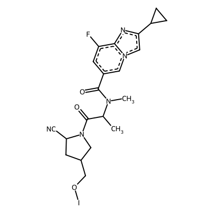 CC(C(=O)N1CC(COI)CC1C#N)N(C)C(=O)c1cc(F)c2nc(C3CC3)cn2c1